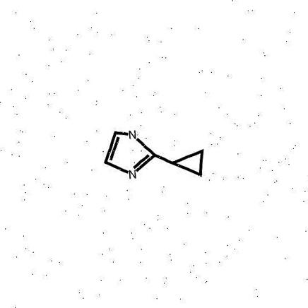 C1=CN=C(C2CC2)[N]1